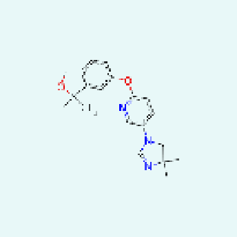 CC1(C)CN(c2ccc(Oc3ccc4c(c3)C(C)(C(F)(F)F)OC4)nc2)C=N1